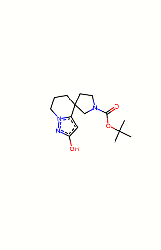 CC(C)(C)OC(=O)N1CCC2(CCCn3nc(O)cc32)C1